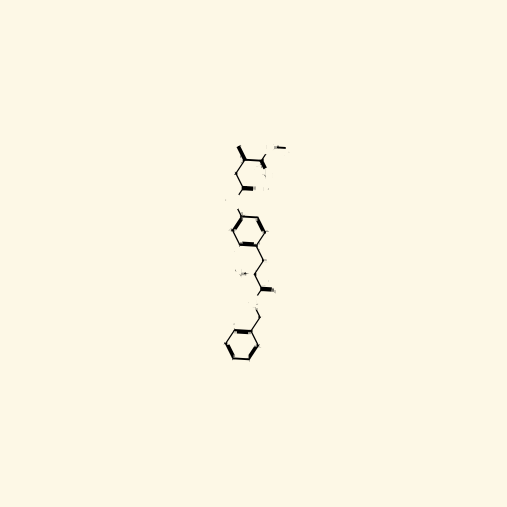 C=C(CC(=O)Oc1ccc(C[C@H](N)C(=O)OCc2ccccc2)cc1)C(=O)OC